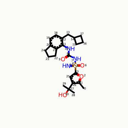 Cc1oc(S(=N)(=O)NC(=O)Nc2c(CC3CCC3)ccc3c2CCC3)cc1C(C)(C)O